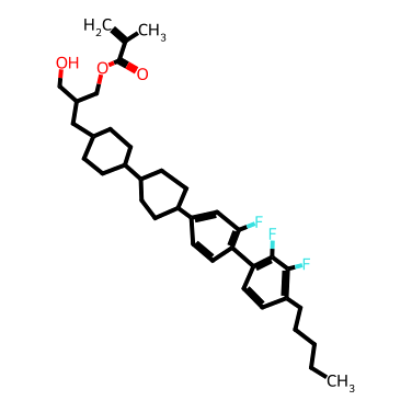 C=C(C)C(=O)OCC(CO)CC1CCC(C2CCC(c3ccc(-c4ccc(CCCCC)c(F)c4F)c(F)c3)CC2)CC1